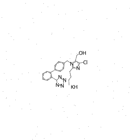 CCCCc1nc(Cl)c(CO)n1Cc1ccc(-c2ccccc2C2N=NN=N2)cc1.[KH]